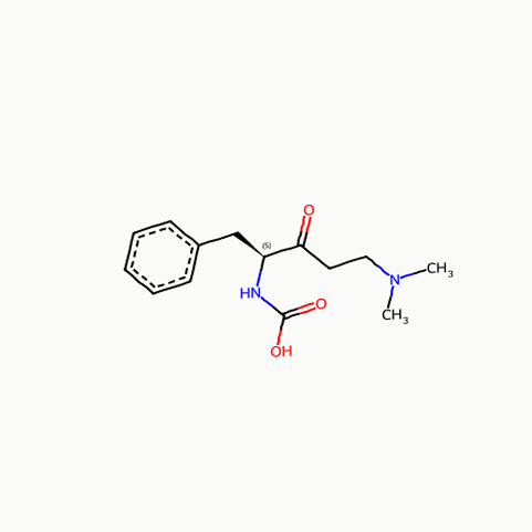 CN(C)CCC(=O)[C@H](Cc1ccccc1)NC(=O)O